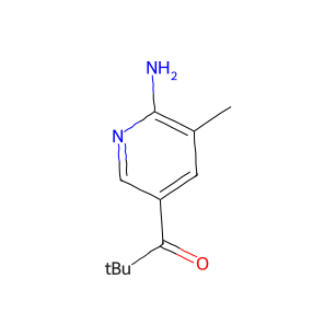 Cc1cc(C(=O)C(C)(C)C)cnc1N